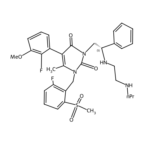 CCCNCCN[C@H](Cn1c(=O)c(-c2cccc(OC)c2F)c(C)n(Cc2c(F)cccc2S(C)(=O)=O)c1=O)c1ccccc1